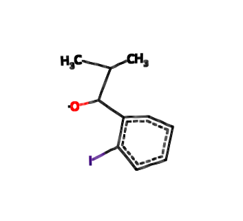 CC(C)C([O])c1ccccc1I